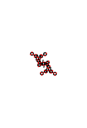 c1cc2c3ccc(N(c4ccc(C5CCCCC5)cc4)c4ccc(C5CCCCC5)cc4)cc3n3c4cc5c6cccc7c8ccc(N(c9ccc(C%10CCCCC%10)cc9)c9ccc(C%10CCCCC%10)cc9)cc8n(c5cc4c(c1)c23)c76